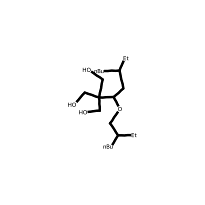 CCCCC(CC)COC(CC(CC)CCCC)C(CO)(CO)CO